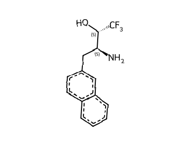 N[C@@H](Cc1ccc2ccccc2c1)[C@H](O)C(F)(F)F